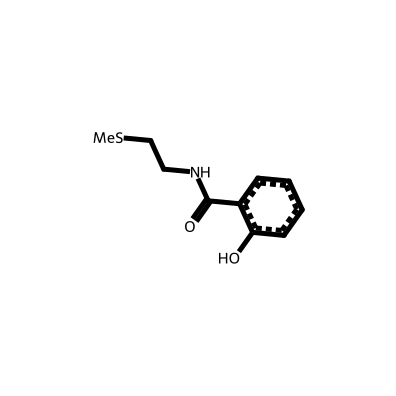 CSCCNC(=O)c1ccccc1O